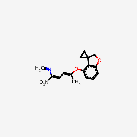 C=N/C(=C\C=C(/C)Oc1cccc2c1C1(CC1)CO2)[N+](=O)[O-]